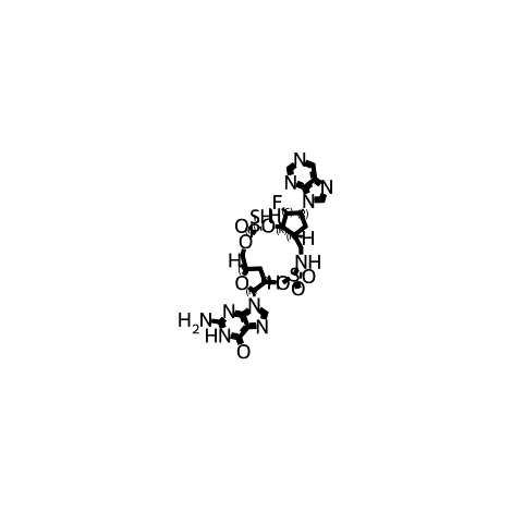 Nc1nc2c(ncn2[C@@H]2O[C@@H]3CO[P@](=O)(S)O[C@@H]4[C@@H](CNS(=O)(=O)O[C@@H]2C3)C[C@@H](n2cnc3cncnc32)[C@@H]4F)c(=O)[nH]1